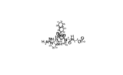 CC(=O)OCCNC(=O)CN(C(=O)[C@H](CC(=O)NC1CCCN(C(=N)N)C1)NS(=O)(=O)c1ccc2ccccc2c1)C1CC1